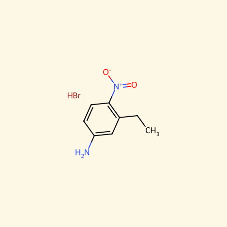 Br.CCc1cc(N)ccc1[N+](=O)[O-]